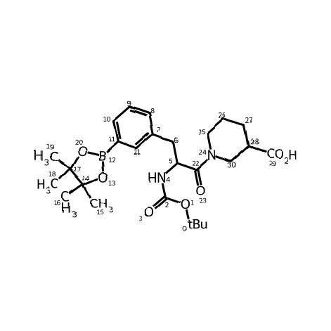 CC(C)(C)OC(=O)NC(Cc1cccc(B2OC(C)(C)C(C)(C)O2)c1)C(=O)N1CCCC(C(=O)O)C1